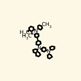 C=c1cccc(N(c2ccc(C)cc2)c2ccc(-c3ccc(N(c4ccc(N(c5ccccc5)c5ccccc5)cc4)c4cccc5ccccc45)cc3)cc2)/c1=C/C